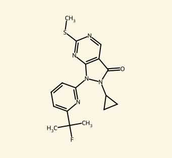 CSc1ncc2c(=O)n(C3CC3)n(-c3cccc(C(C)(C)F)n3)c2n1